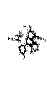 Cc1cccc(-c2cc3nc(N)nc(N)c3c3ccn(C)c23)c1.O=C(O)C(F)(F)F